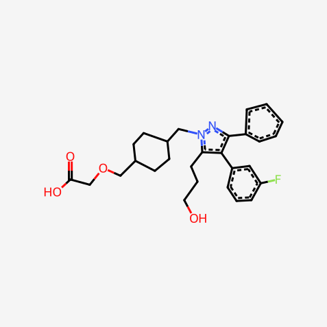 O=C(O)COCC1CCC(Cn2nc(-c3ccccc3)c(-c3cccc(F)c3)c2CCCO)CC1